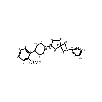 COc1ccccc1C1CCN([C@H]2CCC3(C2)CN(c2ncco2)C3)CC1